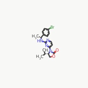 CC(C)[C@H]1COC(=O)N1c1ccnc(N[C@@H](C)c2ccc(Br)cc2)n1